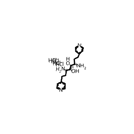 Cl.Cl.Cl.Cl.N[C@@H](CCc1ccncc1)[C@@H](O)[C@H](O)[C@@H](N)CCc1ccncc1